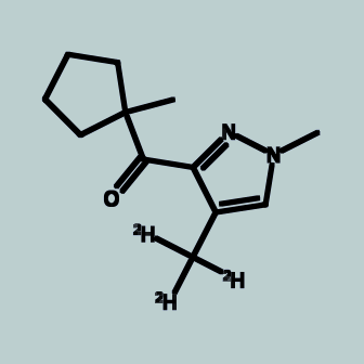 [2H]C([2H])([2H])c1cn(C)nc1C(=O)C1(C)CCCC1